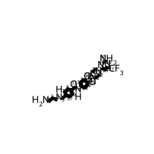 NCCCNCc1ccc(C(=O)Nc2ccc(S(=O)(=O)N3CCN(c4cc(C(F)(F)F)nc(N)n4)CC3)cc2)cc1